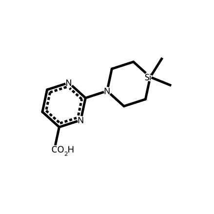 C[Si]1(C)CCN(c2nccc(C(=O)O)n2)CC1